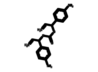 C=CC(OC(=O)OC(C=C)c1ccc([N+](=O)[O-])cc1)c1ccc([N+](=O)[O-])cc1